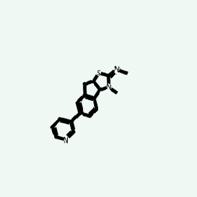 CN=C1SC2Cc3cc(-c4cccnc4)ccc3C2N1C